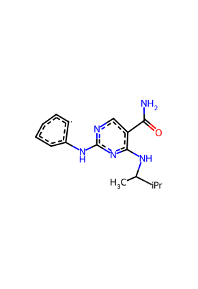 CC(C)C(C)Nc1nc(Nc2[c]cccc2)ncc1C(N)=O